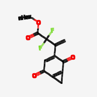 C=C(C1=CC(=O)C2=C(C2)C1=O)C(F)(F)C(=O)OCCCCCC